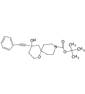 CC(C)(C)OC(=O)N1CCC2(CC1)CC(O)(C#Cc1ccccc1)CCO2